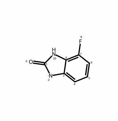 O=C1[N]c2cccc(F)c2N1